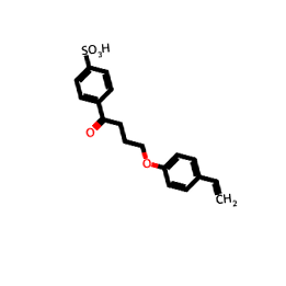 C=Cc1ccc(OCCCC(=O)c2ccc(S(=O)(=O)O)cc2)cc1